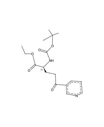 CCOC(=O)[C@H](CCC(=O)c1cccnc1)NC(=O)OC(C)(C)C